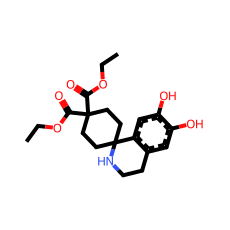 CCOC(=O)C1(C(=O)OCC)CCC2(CC1)NCCc1cc(O)c(O)cc12